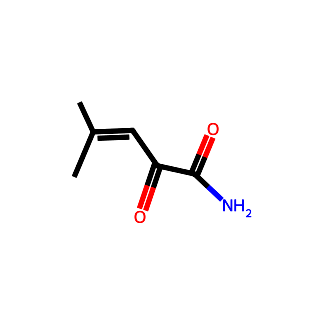 CC(C)=CC(=O)C(N)=O